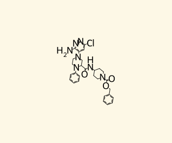 Nc1nnc(Cl)cc1N1CCN(c2ccccc2)C(C(=O)NC2CCN(C(=O)OCc3ccccc3)CC2)C1